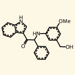 COc1cc(CO)cc(NC(C(=O)c2c[nH]c3ccccc23)c2ccccc2)c1